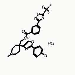 CN1CCC(CNC(=O)c2cccc(-c3noc(C(F)(F)F)n3)c2)(c2coc(-c3ccc(Cl)cc3)n2)CC1.Cl